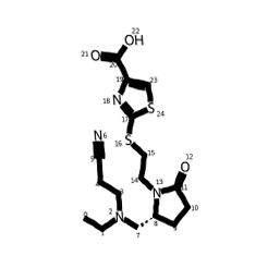 CCN(CCC#N)C[C@H]1CCC(=O)N1CCSc1nc(C(=O)O)cs1